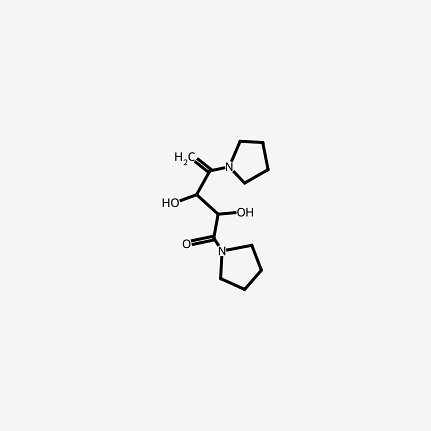 C=C(C(O)C(O)C(=O)N1CCCC1)N1CCCC1